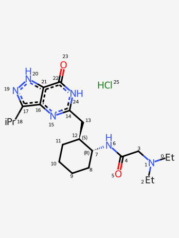 CCN(CC)CC(=O)N[C@@H]1CCCC[C@H]1Cc1nc2c(C(C)C)n[nH]c2c(=O)[nH]1.Cl